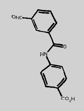 O=Cc1cccc(C(=O)Nc2ccc(C(=O)O)cc2)c1